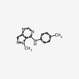 Cc1ccc(Nc2ncnc3cnn(C)c23)cc1